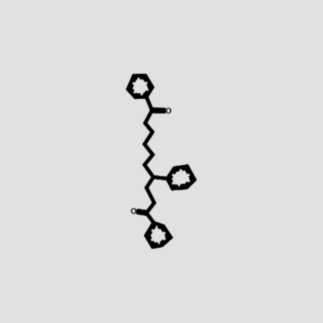 O=C(CCCCCC(CCC(=O)c1ccccc1)c1ccccc1)c1ccccc1